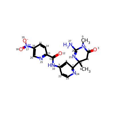 CN1C(=O)CC(C)(c2cc(NC(=O)c3ccc([N+](=O)[O-])cn3)ccn2)N=C1N